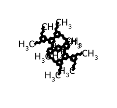 CCCCc1cc(CCCC)cc(-c2cc(-c3cc(CCCC)cc(CCCC)c3)cc(-n3c4ccc(C)cc4c4cc5c(cc43)c3cc(C)ccc3n5-c3cc(-c4cc(CCCC)cc(CCCC)c4)cc(-c4cc(CCCC)cc(CCCC)c4)c3)c2)c1